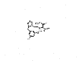 CC(C)CC(C(=O)OC(C)(C)C)N(CCc1cncn1Cc1cc(Cl)cc(Cl)c1)C(=O)O